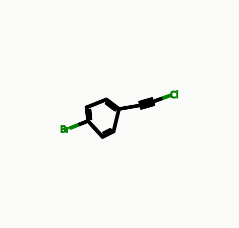 ClC#Cc1ccc(Br)cc1